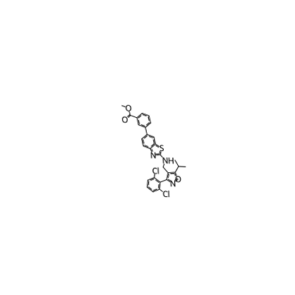 COC(=O)c1cccc(-c2ccc3nc(NCc4c(-c5c(Cl)cccc5Cl)noc4C(C)C)sc3c2)c1